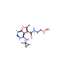 Cc1oc2ncnc(NC3(C)CC3)c2c1C(=O)NCCOC(C)C